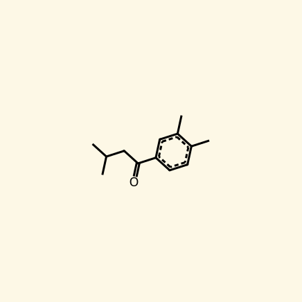 Cc1ccc(C(=O)CC(C)C)cc1C